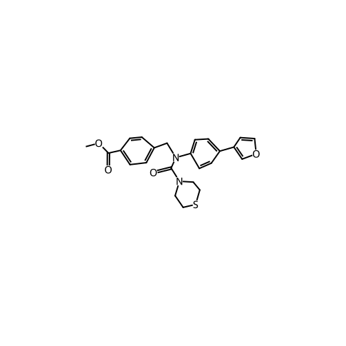 COC(=O)c1ccc(CN(C(=O)N2CCSCC2)c2ccc(-c3ccoc3)cc2)cc1